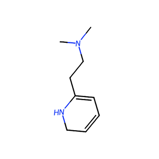 CN(C)CCC1=CC=CCN1